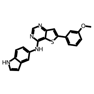 COc1cccc(-c2cc3ncnc(Nc4ccc5[nH]ccc5c4)c3s2)c1